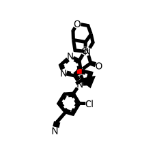 CC1(OC(=O)N2CC3COCC(C2)C3Oc2ncnc3c2ccn3-c2ccc(C#N)cc2Cl)CC1